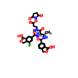 C[C@H](NC(=O)c1ccc2c(c1)B(O)OC2)[C@H](NC(=O)c1cc(F)c2c(c1)B(O)OC2)C(=O)NCCC(=O)ON1C(=O)CCC1=O